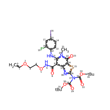 C=COCCONC(=O)c1c(Nc2ccc(I)cc2F)n(C)c(=O)c2sc(N(C(=O)OC(C)(C)C)C(=O)OC(C)(C)C)nc12